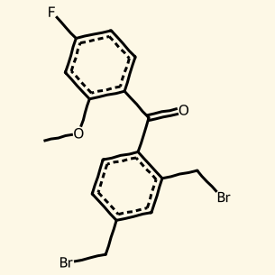 COc1cc(F)ccc1C(=O)c1ccc(CBr)cc1CBr